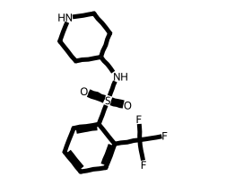 O=S(=O)(NC1CCNCC1)c1ccccc1C(F)(F)F